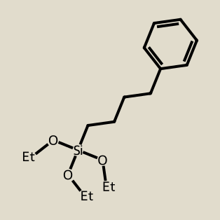 CCO[Si](CCCCc1ccccc1)(OCC)OCC